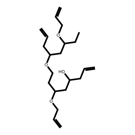 C=CCOC(CCOC(CC=C)CC(CC)OCC=C)CC(O)CC=C